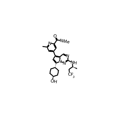 CNC(=O)c1cc(-c2cc([C@H]3CC[C@H](O)CC3)n3nc(N[C@@H](C)CC(F)(F)F)ncc23)cc(C)n1